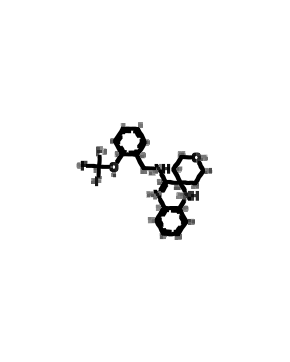 FC(F)(F)Oc1ccccc1CNC1=Nc2ccccc2NC12CCOCC2